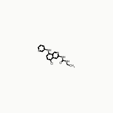 CCNC(=O)Nc1cc2c(Cl)ccc(Nc3cccnc3)c2cn1